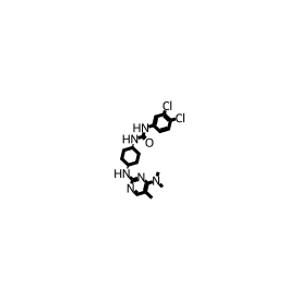 Cc1cnc(N[C@H]2CC[C@@H](NC(=O)Nc3ccc(Cl)c(Cl)c3)CC2)nc1N(C)C